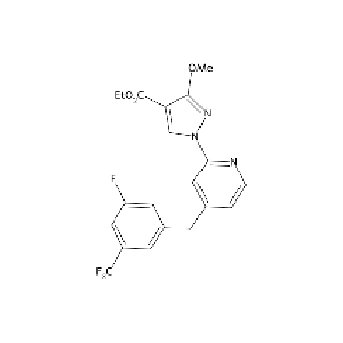 CCOC(=O)c1cn(-c2cc(Cc3cc(F)cc(C(F)(F)F)c3)ccn2)nc1OC